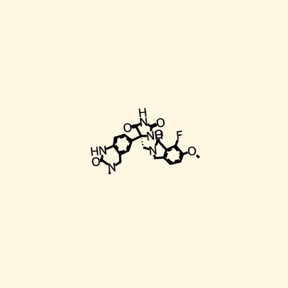 COc1ccc2c(c1F)C(=O)N(C[C@@]1(c3ccc4c(c3)CN(C)C(=O)N4)NC(=O)NC1=O)C2